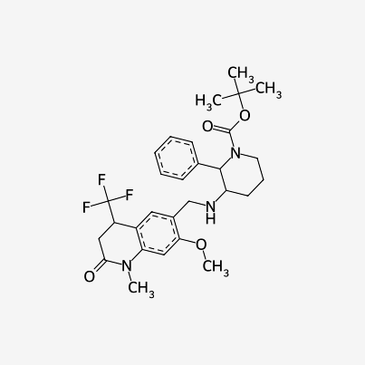 COc1cc2c(cc1CNC1CCCN(C(=O)OC(C)(C)C)C1c1ccccc1)C(C(F)(F)F)CC(=O)N2C